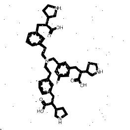 O=C(O)C(Cc1cccc(CCN(CCc2cccc(CC(C(=O)O)C3CCNC3)c2)Cc2cc(F)cc(CC(C(=O)O)C3CCNC3)c2)c1)C1CCNC1